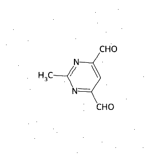 Cc1nc(C=O)cc(C=O)n1